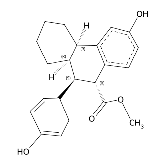 COC(=O)[C@H]1c2ccc(O)cc2[C@@H]2CCCC[C@@H]2[C@@H]1C1C=CC(O)=CC1